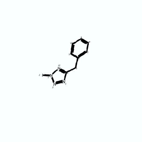 In1nnc(Cc2ccccc2)n1